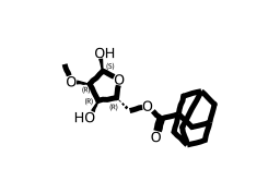 CO[C@@H]1[C@H](O)[C@@H](COC(=O)C23CC4CC(CC(C4)C2)C3)O[C@@H]1O